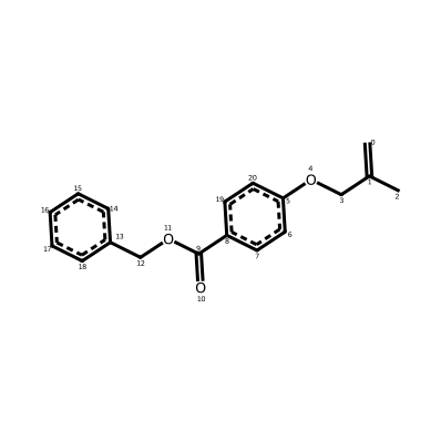 C=C(C)COc1ccc(C(=O)OCc2ccccc2)cc1